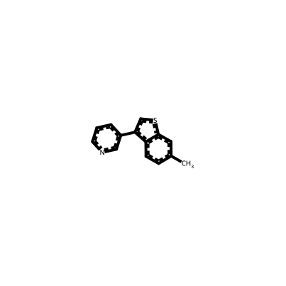 Cc1ccc2c(-c3cccnc3)csc2c1